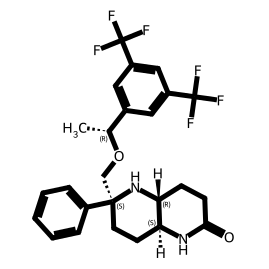 C[C@@H](OC[C@@]1(c2ccccc2)CC[C@@H]2NC(=O)CC[C@H]2N1)c1cc(C(F)(F)F)cc(C(F)(F)F)c1